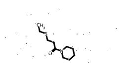 CCSCCC(=O)N1CCCCC1